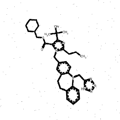 CCCc1nc(C(C)(C)O)c(C(=O)OCC2CCCCC2)n1Cc1ccc2c(c1)CCc1ccccc1N2Cc1nnn[nH]1